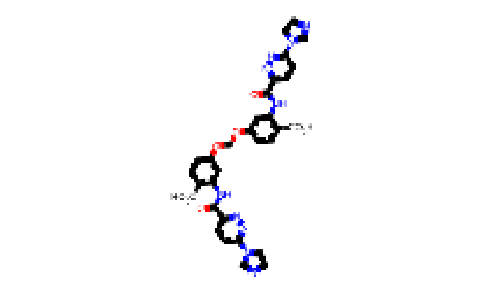 O=C(Nc1cc(OCOc2ccc(C(=O)O)c(NC(=O)c3ccc(-n4ccnc4)nn3)c2)ccc1C(=O)O)c1ccc(-n2ccnc2)nn1